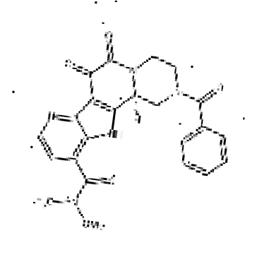 CON(C)C(=O)c1ccnc2c3c([nH]c12)[C@@H]1CN(C(=O)c2ccccc2)CCN1C(=O)C3=O